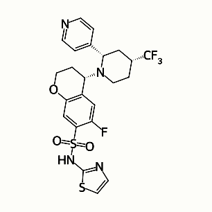 O=S(=O)(Nc1nccs1)c1cc2c(cc1F)[C@@H](N1CC[C@@H](C(F)(F)F)C[C@H]1c1ccncc1)CCO2